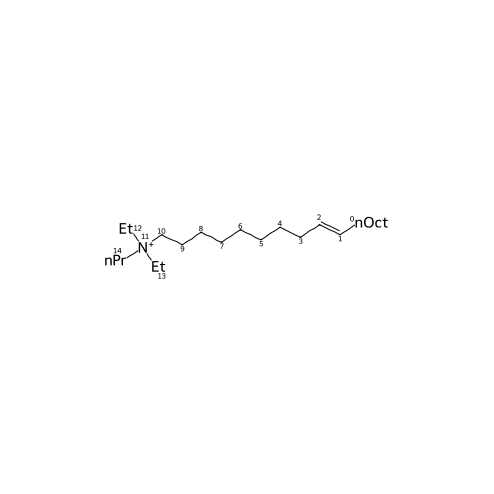 CCCCCCCCC=CCCCCCCCC[N+](CC)(CC)CCC